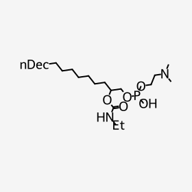 CCCCCCCCCCCCCCCCCC(COP(O)OCCN(C)C)OC(=O)NCC